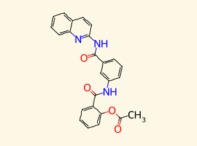 CC(=O)Oc1ccccc1C(=O)Nc1cccc(C(=O)Nc2ccc3ccccc3n2)c1